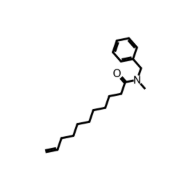 C=CCCCCCCCCC(=O)N(C)Cc1ccccc1